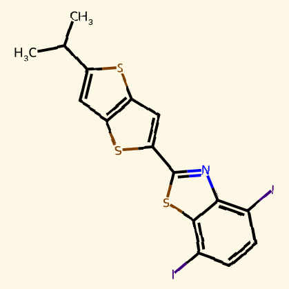 CC(C)c1cc2sc(-c3nc4c(I)ccc(I)c4s3)cc2s1